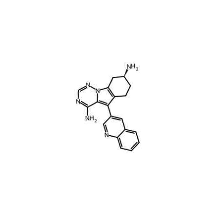 Nc1ncnn2c3c(c(-c4cnc5ccccc5c4)c12)CC[C@H](N)C3